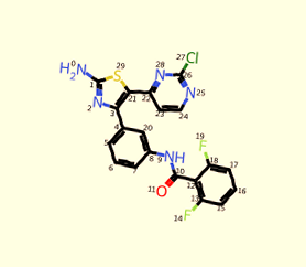 Nc1nc(-c2cccc(NC(=O)c3c(F)cccc3F)c2)c(-c2ccnc(Cl)n2)s1